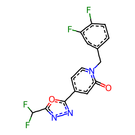 O=c1cc(-c2nnc(C(F)F)o2)ccn1Cc1ccc(F)c(F)c1